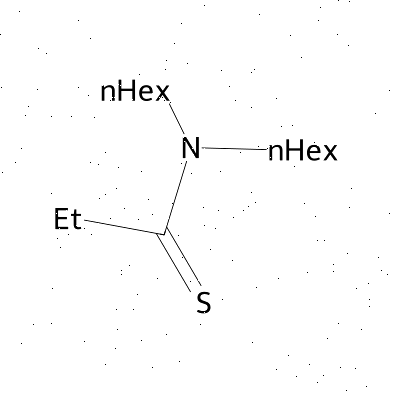 CCCCCCN(CCCCCC)C(=S)CC